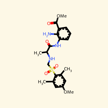 COC(=O)c1cccc(NC(=O)C(C)NCS(=O)(=O)c2c(C)cc(OC)cc2C)c1N